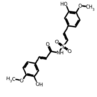 COc1ccc(C=CC(=O)NS(=O)(=O)C=Cc2ccc(OC)c(O)c2)cc1O